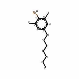 CCCCCCCc1cc(C)c(Br)c(C)c1